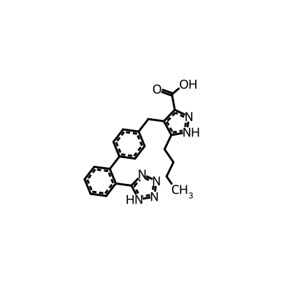 CCCCc1[nH]nc(C(=O)O)c1Cc1ccc(-c2ccccc2-c2nnn[nH]2)cc1